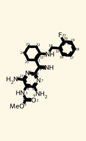 COC(=O)Nc1c(N)nc(C(=N)C2=C(NCc3ccccc3F)CCCC2)nc1N